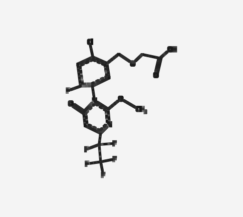 COc1nc(C(F)(F)C(F)(F)F)cc(=O)n1-c1cc(COCC(=O)O)c(Cl)cc1F